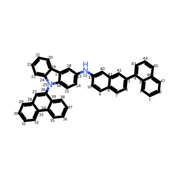 c1ccc2c(-c3ccc4ccc(Nc5ccc6c(c5)c5ccccc5n6-c5cc6ccccc6c6ccccc56)cc4c3)cccc2c1